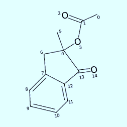 CC(=O)OC1(C)Cc2ccccc2C1=O